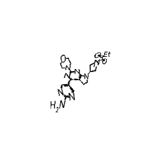 CCS(=O)(=O)N1CC(N2CCc3c(-c4cnc(N)nc4)nc(N4CCOCC4)nc32)C1